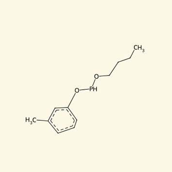 CCCCOPOc1cccc(C)c1